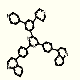 c1ccc2c(-c3ccc(-c4cc(-c5cc(-c6ccncc6)cc(-c6ccncc6)c5)nc(-c5ccc(-c6ccnc7ccccc67)cc5)n4)cc3)ccnc2c1